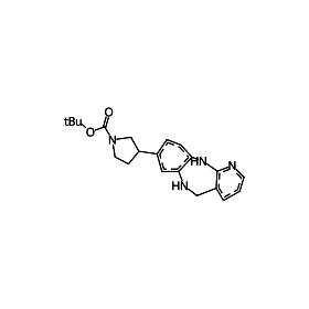 CC(C)(C)OC(=O)N1CCC(c2ccc3c(c2)NCc2cccnc2N3)C1